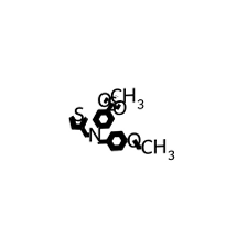 CCOc1ccc(CN(Cc2ccsc2)c2ccc(S(C)(=O)=O)cc2)cc1